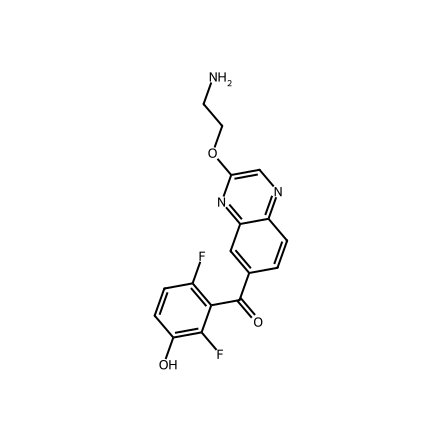 NCCOc1cnc2ccc(C(=O)c3c(F)ccc(O)c3F)cc2n1